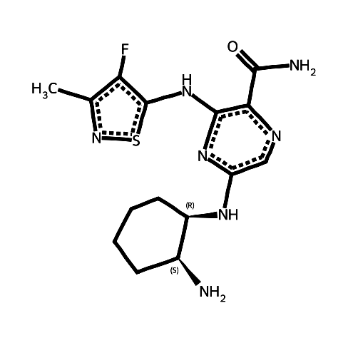 Cc1nsc(Nc2nc(N[C@@H]3CCCC[C@@H]3N)cnc2C(N)=O)c1F